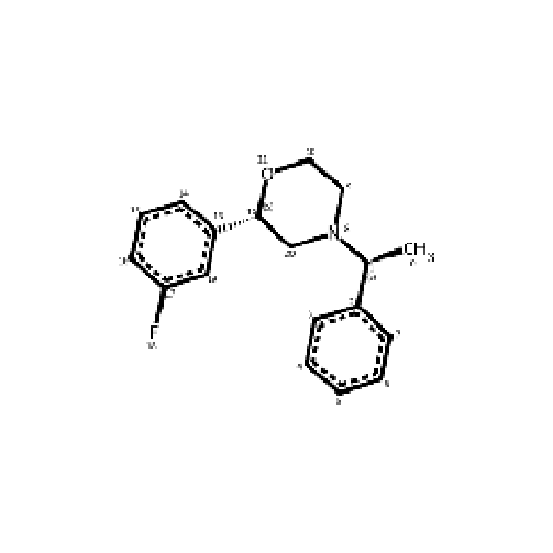 C[C@@H](c1ccccc1)N1CCO[C@@H](c2cccc(F)c2)C1